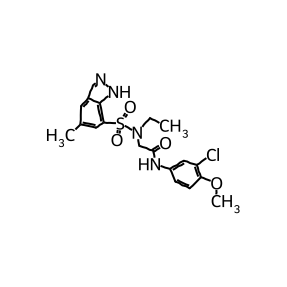 CCN(CC(=O)Nc1ccc(OC)c(Cl)c1)S(=O)(=O)c1cc(C)cc2cn[nH]c12